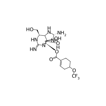 N=C1N[C@@H](CO)C2N[C@H](N)NC23N1C[C@H](OC(=O)C1=CCC(OC(F)(F)F)CC1)C3(O)O